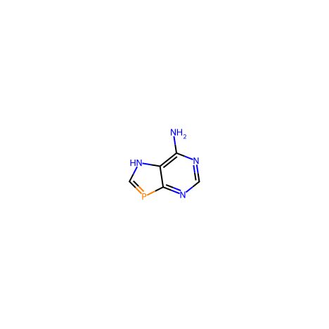 Nc1ncnc2pc[nH]c12